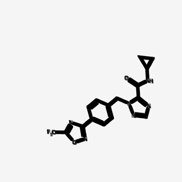 O=C(NC1CC1)c1ncnn1Cc1ccc(-c2noc(C(F)(F)F)n2)cc1